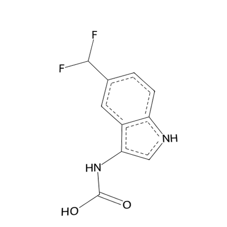 O=C(O)Nc1c[nH]c2ccc(C(F)F)cc12